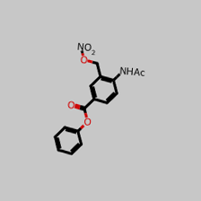 CC(=O)Nc1ccc(C(=O)Oc2ccccc2)cc1CO[N+](=O)[O-]